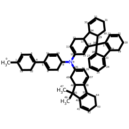 CC1=CC=C(C2=CCC(N(C3=CCC4C(=C3)C3(C5=C(CCC=C5)c5ccccc53)C3CCC=CC43)C3=CC=C4C5=C(C=CCC5)C(C)(C)C4C3)C=C2)CC1